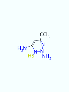 NC1=CC(C(Cl)(Cl)Cl)=NN(N)N1S